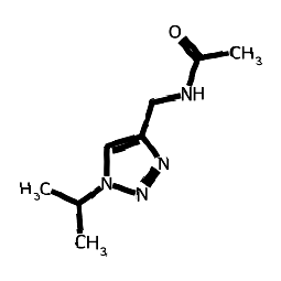 CC(=O)NCc1cn(C(C)C)nn1